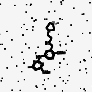 CNc1cc(C)nc(Nc2ccc(OC)c(CNCCN3CC[C@H](C)C3)c2)n1